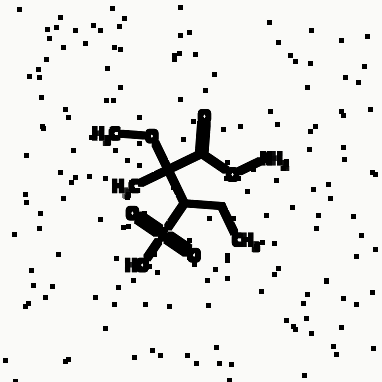 CCC(C(C)(OC)C(=O)ON)S(=O)(=O)O